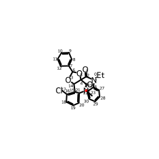 CCN(C(=O)C12OC(c3ccccc3)OC1c1c(Cl)cccc1N(C)C2=O)c1ccccc1